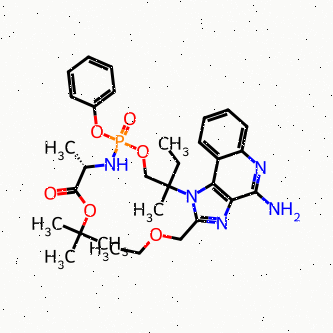 CCOCc1nc2c(N)nc3ccccc3c2n1C(C)(CC)COP(=O)(N[C@@H](C)C(=O)OC(C)(C)C)Oc1ccccc1